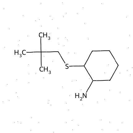 CC(C)(C)CSC1CCCCC1N